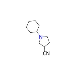 N#CC1CCN(C2CCCCC2)C1